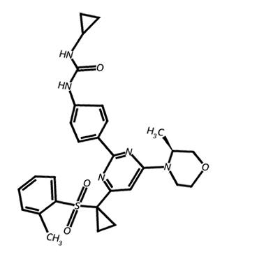 Cc1ccccc1S(=O)(=O)C1(c2cc(N3CCOC[C@@H]3C)nc(-c3ccc(NC(=O)NC4CC4)cc3)n2)CC1